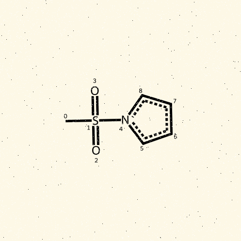 CS(=O)(=O)n1c[c]cc1